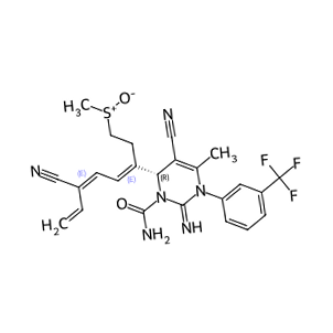 C=C/C(C#N)=C\C=C(/CC[S+](C)[O-])[C@@H]1C(C#N)=C(C)N(c2cccc(C(F)(F)F)c2)C(=N)N1C(N)=O